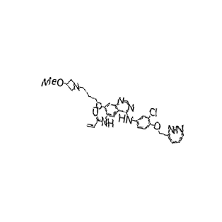 C=CC(=O)Nc1cc2c(Nc3ccc(OCc4cccnn4)c(Cl)c3)ncnc2cc1OCCCN1CC(OC)C1